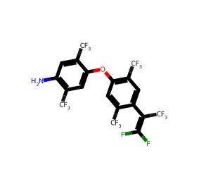 Nc1cc(C(F)(F)F)c(Oc2cc(C(F)(F)F)c(C(=C(F)F)C(F)(F)F)cc2C(F)(F)F)cc1C(F)(F)F